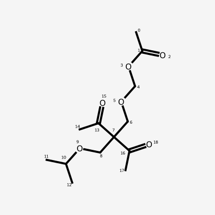 CC(=O)OCOCC(COC(C)C)(C(C)=O)C(C)=O